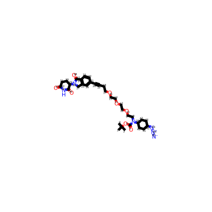 CC(C)(C)OC(=O)N(CCOCCOCCOCCC#Cc1ccc2c(c1)CN(C1CCC(=O)NC1=O)C2=O)C1CCC(N=[N+]=[N-])CC1